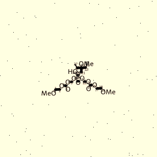 COCCOC(=O)OCOP(=O)(OCOC(=O)OCCOC)OC[C@@](CF)(OC)[C@H](C)O